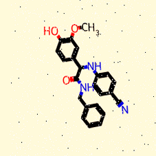 COc1cc(C(Nc2ccc(C#N)cc2)C(=O)NCc2ccccc2)ccc1O